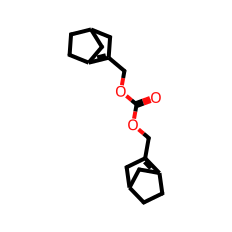 O=C(OCC1=C2CCC(C2)C1)OCC1=C2CCC(C2)C1